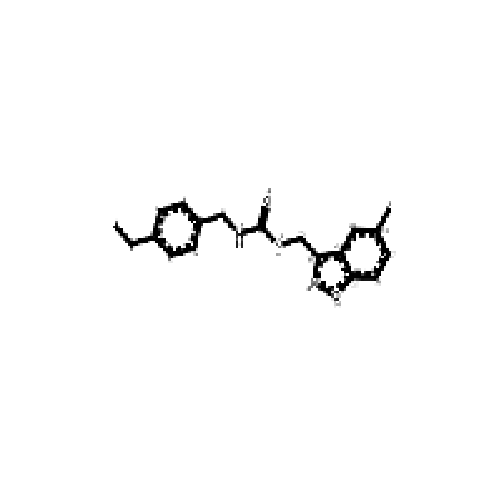 CCc1ccc(CNC(=O)NCc2noc3ccc(C)cc23)cc1